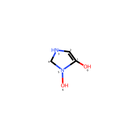 OC1=CNCN1O